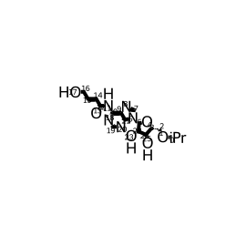 CC(C)OC[C@H]1O[C@@H](n2cnc3c(NC(=O)/C=C/CO)ncnc32)[C@H](O)[C@@H]1O